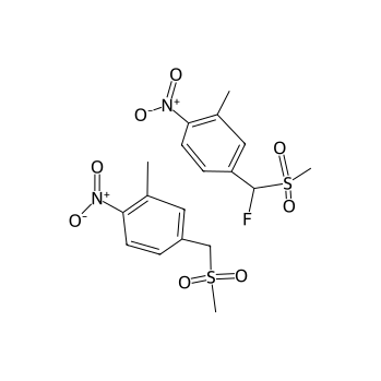 Cc1cc(C(F)S(C)(=O)=O)ccc1[N+](=O)[O-].Cc1cc(CS(C)(=O)=O)ccc1[N+](=O)[O-]